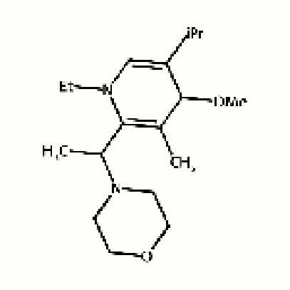 CCN1C=C(C(C)C)C(OC)C(C)=C1C(C)N1CCOCC1